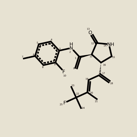 C=C(Nc1ccc(C)cc1F)[C@H]1C(=O)NC[C@@H]1C(=C)/C=C(\C)C(C)(C)F